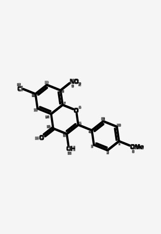 COc1ccc(-c2oc3c([N+](=O)[O-])cc(Cl)cc3c(=O)c2O)cc1